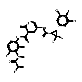 C=C(Cl)/C(=C\C(=C/C)NC(=O)[C@H]1[C@H](c2cc(Cl)c(Cl)c(Cl)c2)C1(Cl)Cl)C(=O)Nc1ccc(F)c(N(C)C(=O)C(F)F)c1F